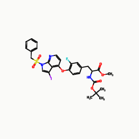 COC(=O)C(Cc1ccc(Oc2ccnc3c2c(I)cn3S(=O)(=O)Cc2ccccc2)c(F)c1)NC(=O)OC(C)(C)C